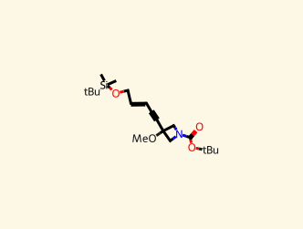 COC1(C#C/C=C/CO[Si](C)(C)C(C)(C)C)CN(C(=O)OC(C)(C)C)C1